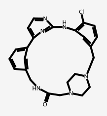 O=C1CN2CCN(CC2)Cc2ccc(Cl)c(c2)Nc2nccc(n2)-c2cccc(c2)CN1